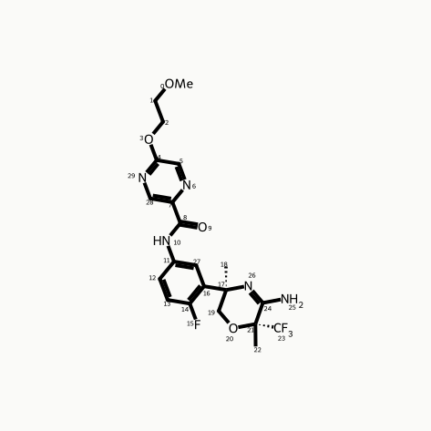 COCCOc1cnc(C(=O)Nc2ccc(F)c([C@]3(C)CO[C@@](C)(C(F)(F)F)C(N)=N3)c2)cn1